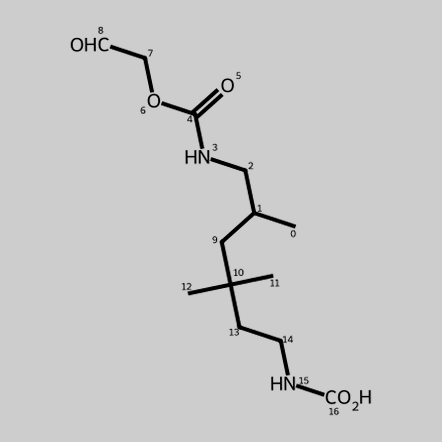 CC(CNC(=O)OCC=O)CC(C)(C)CCNC(=O)O